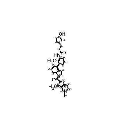 Cc1c(NC(=O)CCN2CCC(O)C2)cccc1-c1cccc2c1ccn2C(=O)c1nc2c(n1C)CNCC2